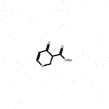 COC(=O)C1CSC=CC1=O